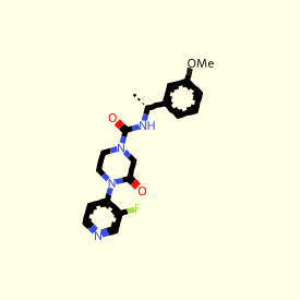 COc1cccc([C@@H](C)NC(=O)N2CCN(c3ccncc3F)C(=O)C2)c1